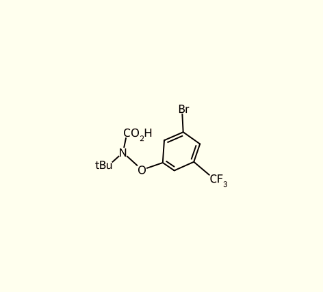 CC(C)(C)N(Oc1cc(Br)cc(C(F)(F)F)c1)C(=O)O